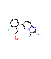 Cc1c(N)nc2ccc(-c3cccc(F)c3CCO)cn12